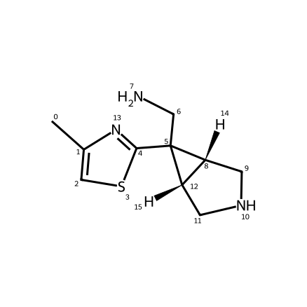 Cc1csc(C2(CN)[C@@H]3CNC[C@@H]32)n1